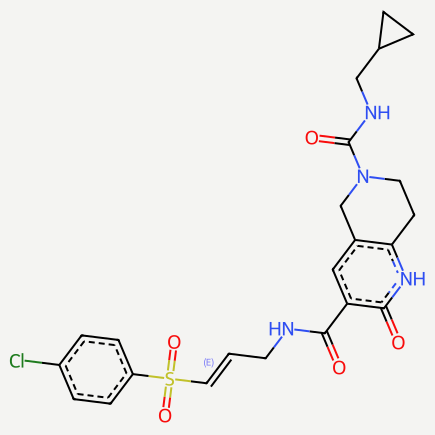 O=C(NC/C=C/S(=O)(=O)c1ccc(Cl)cc1)c1cc2c([nH]c1=O)CCN(C(=O)NCC1CC1)C2